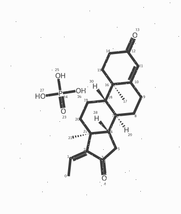 C/C=C1\C(=O)C[C@H]2[C@@H]3CCC4=CC(=O)CC[C@]4(C)[C@H]3CC[C@]12C.O=P(O)(O)O